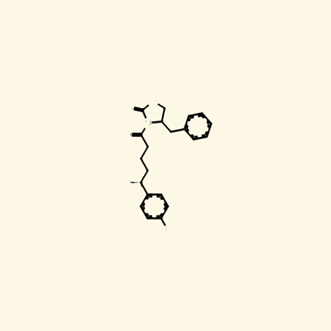 O=C(CCC[C@H](O)c1ccc(F)cc1)N1C(=O)OCC1Cc1ccccc1